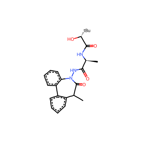 CC1C(=O)N(NC(=O)[C@H](C)NC(=O)[C@H](O)C(C)(C)C)c2ccccc2-c2ccccc21